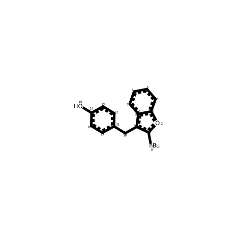 CCCCc1oc2ccccc2c1Cc1ccc(O)cc1